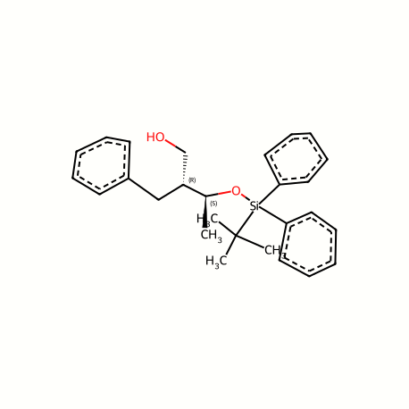 C[C@H](O[Si](c1ccccc1)(c1ccccc1)C(C)(C)C)[C@@H](CO)Cc1ccccc1